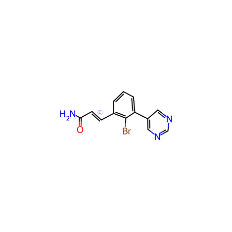 NC(=O)/C=C/c1cccc(-c2cncnc2)c1Br